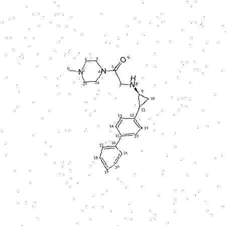 CN1CCN(C(=O)CN[C@H]2CC2c2ccc(-c3ccccc3)cc2)CC1